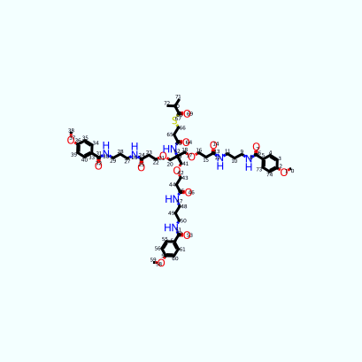 COc1ccc(C(=O)NCCCNC(=O)CCOCC(COCCC(=O)NCCCNC(=O)c2ccc(OC)cc2)(COCCC(=O)NCCCNC(=O)c2ccc(OC)cc2)NC(=O)CCSC(=O)C(C)C)cc1